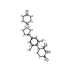 O=C1CCC(c2c(F)cc(N3CC[C@H](N4CCNCC4)C3)cc2F)C(=O)N1